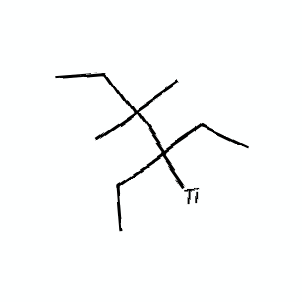 CCC(C)(C)[C]([Ti])(CC)CC